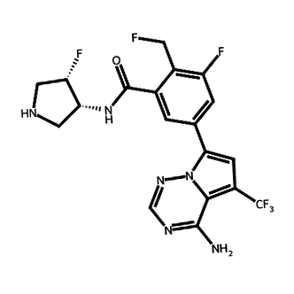 Nc1ncnn2c(-c3cc(F)c(CF)c(C(=O)N[C@@H]4CNC[C@@H]4F)c3)cc(C(F)(F)F)c12